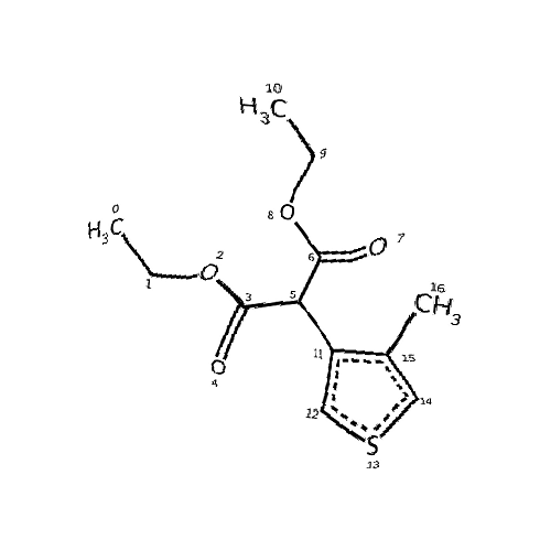 CCOC(=O)C(C(=O)OCC)c1cscc1C